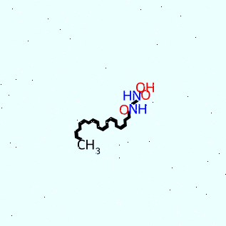 CC/C=C\C/C=C\C/C=C\C/C=C\C/C=C\C/C=C\CCC(=O)NCCNC(=O)O